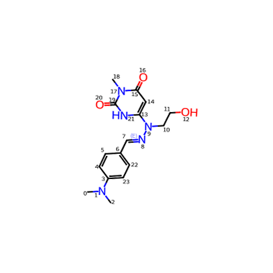 CN(C)c1ccc(/C=N/N(CCO)c2cc(=O)n(C)c(=O)[nH]2)cc1